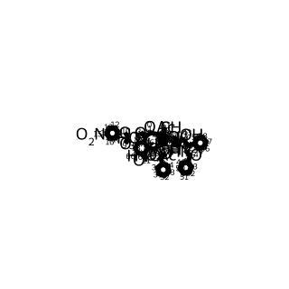 CC(=O)O[C@H]1C(=O)[C@]2(C)[C@@H](OC(=O)Oc3ccc([N+](=O)[O-])cc3)C[C@H]3OC[C@@]3(OC(C)=O)[C@H]2[C@H](OC(=O)c2ccccc2)[C@]2(O)C[C@H](OC(=O)[C@H](O)[C@@H](NC(=O)c3ccccc3)c3ccccc3)C(C)=C1C2(C)C